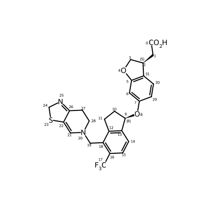 O=C(O)C[C@@H]1COc2cc(O[C@@H]3CCc4c3ccc(C(F)(F)F)c4CN3C=C4SCN=C4CC3)ccc21